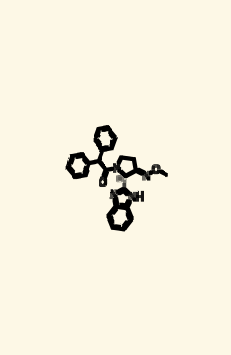 CON=C1CCN(C(=O)C(c2ccccc2)c2ccccc2)[C@H]1c1nc2ccccc2[nH]1